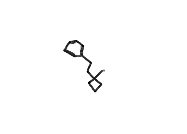 [CH2]C1(CCc2ccccc2)CCC1